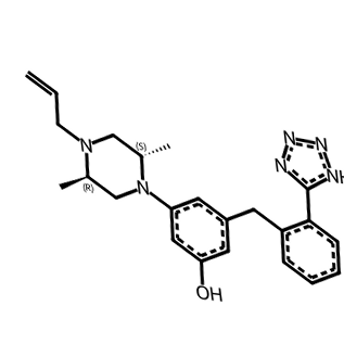 C=CCN1C[C@H](C)N(c2cc(O)cc(Cc3ccccc3-c3nnn[nH]3)c2)C[C@H]1C